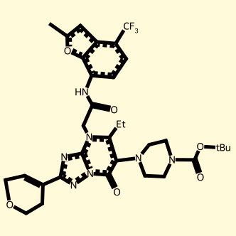 CCc1c(N2CCN(C(=O)OC(C)(C)C)CC2)c(=O)n2nc(C3=CCOCC3)nc2n1CC(=O)Nc1ccc(C(F)(F)F)c2cc(C)oc12